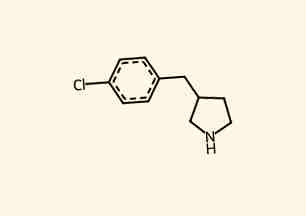 Clc1ccc(CC2CCNC2)cc1